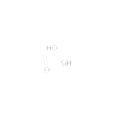 C=O.O[SiH3]